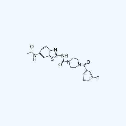 CC(=O)Nc1ccc2nc(NC(=O)N3CCN(C(=O)c4cccc(F)c4)CC3)sc2c1